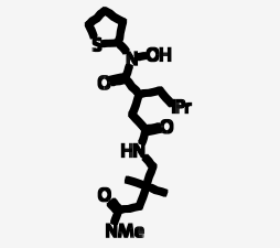 CNC(=O)CC(C)(C)CNC(=O)CC(CC(C)C)C(=O)N(O)C1CCCS1